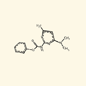 Cc1cc(N(C)C)nc(NC(=O)Oc2ccccc2)n1